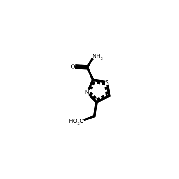 NC(=O)c1nc(CC(=O)O)cs1